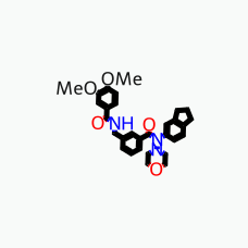 COc1ccc(C(=O)NCc2cccc(C(=O)N(c3ccc4c(c3)CCC4)N3CCOCC3)c2)cc1OC